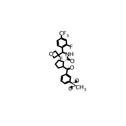 CS(=O)(=O)c1cccc(C(=O)C2CCC[C@@H]2C(=O)NC(c2ccc(C(F)(F)F)cc2F)C2(F)COC2)c1